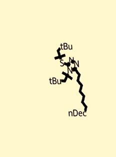 CCCCCCCCCCCCCCCCCc1nnc(SC(C)(C)CC(C)(C)C)n1C(C)(C)CC(C)(C)C